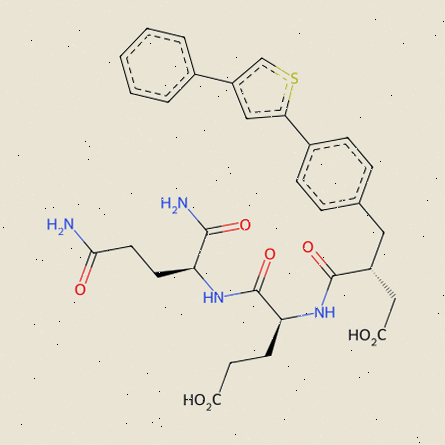 NC(=O)CC[C@H](NC(=O)[C@H](CCC(=O)O)NC(=O)[C@@H](CC(=O)O)Cc1ccc(-c2cc(-c3ccccc3)cs2)cc1)C(N)=O